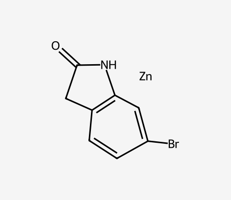 O=C1Cc2ccc(Br)cc2N1.[Zn]